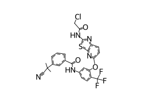 CC(C)(C#N)c1cccc(C(=O)Nc2ccc(C(F)(F)F)c(Oc3ccc4nc(NC(=O)CCl)sc4n3)c2)c1